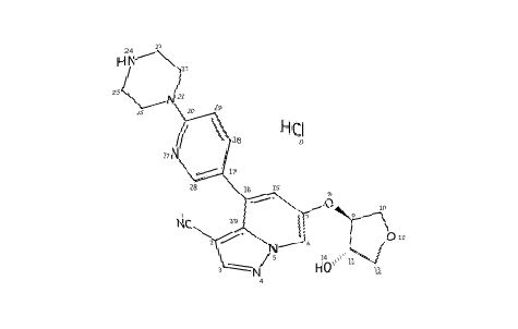 Cl.N#Cc1cnn2cc(O[C@H]3COC[C@@H]3O)cc(-c3ccc(N4CCNCC4)nc3)c12